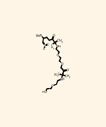 CNC(C=S(=O)=O)CCC(=O)C(C)(C)NCCOCCOCC(=O)C(C)(C)NCCOCCO